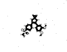 COc1ccc(C2=C(c3ccc(S(=O)(=O)CF)cc3)CC3(CC3)C2)cc1OC